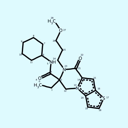 CCC1(C(=O)NC2CCCCC2)Cn2c(cc3sccc32)C(=O)N1CCCOC